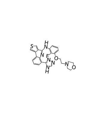 Fc1c(Nc2nc3c(-c4nnc[nH]4)cccc3c3cscc23)cccc1OCCN1CCOCC1